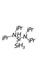 CC(C)N(C(C)C)[SiH]([SiH3])N(C(C)C)C(C)C